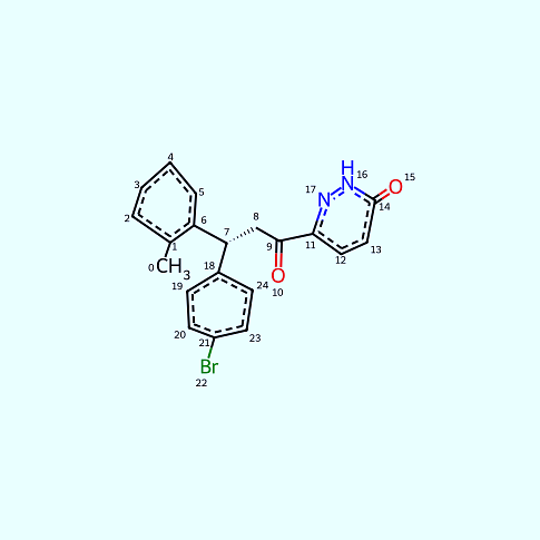 Cc1ccccc1[C@H](CC(=O)c1ccc(=O)[nH]n1)c1ccc(Br)cc1